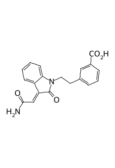 NC(=O)/C=C1/C(=O)N(CCc2cccc(C(=O)O)c2)c2ccccc21